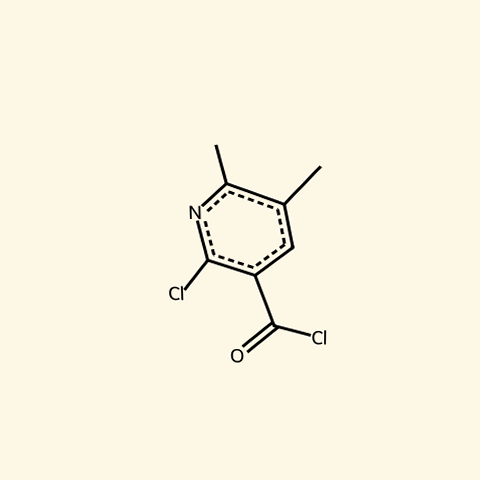 Cc1cc(C(=O)Cl)c(Cl)nc1C